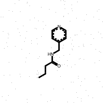 [CH2]CCC(=O)NCc1ccncc1